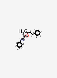 CC(CCc1ccccc1)OC/C=C/c1ccccc1